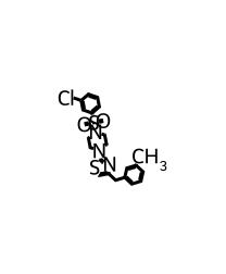 Cc1cccc(Cc2csc(N3CCN(S(=O)(=O)c4cccc(Cl)c4)CC3)n2)c1